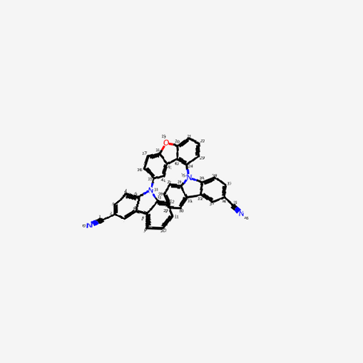 N#Cc1ccc2c(c1)c1ccccc1n2-c1ccc2oc3cccc(-n4c5ccccc5c5cc(C#N)ccc54)c3c2c1